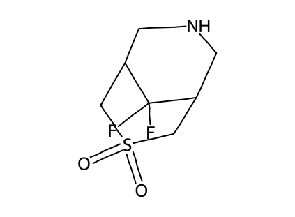 O=S1(=O)CC2CNCC(C1)C2(F)F